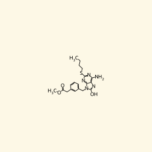 CCCCSc1nc(N)c2nc(O)n(Cc3cccc(CC(=O)OC)c3)c2n1